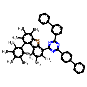 Bc1c(B)c(B)c(-c2c(B)c(B)c(B)c3sc4c(-c5nc(-c6ccc(-c7ccccc7)cc6)nc(-c6cccc(-c7ccccc7)c6)n5)c(B)c(B)c(B)c4c23)c(B)c1B